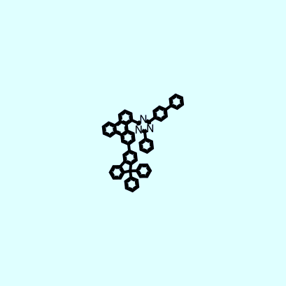 c1ccc(-c2ccc(-c3nc(-c4ccccc4)nc(-c4cccc5c6ccccc6c6cc(-c7ccc8c(c7)-c7ccccc7C8(c7ccccc7)c7ccccc7)ccc6c45)n3)cc2)cc1